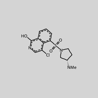 CN[C@H]1CCN(S(=O)(=O)c2cccc3c(O)ncc(Cl)c23)C1